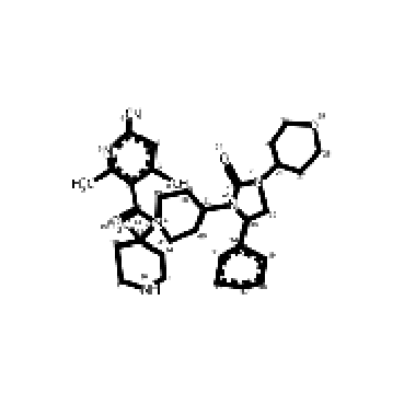 Cc1cc(C#N)nc(C)c1C(=O)[N+]1(C2(C)CCNCC2)CCC(N2C(=O)N(C3CCOCC3)CC2c2ccccc2)CC1